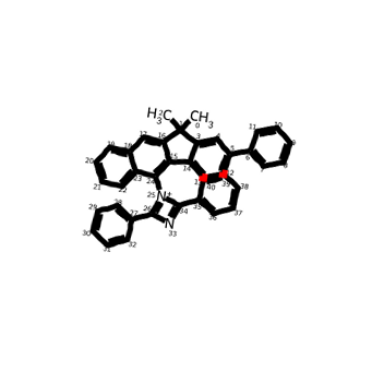 CC1(C)c2cc(-c3ccccc3)ccc2-c2c1cc1ccccc1c2[N+]1=C(c2ccccc2)N=C1c1ccccc1